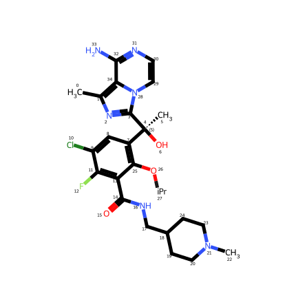 Cc1nc([C@@](C)(O)c2cc(Cl)c(F)c(C(=O)NCC3CCN(C)CC3)c2OC(C)C)n2ccnc(N)c12